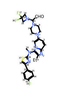 CCc1nc2ccc(N3CCN(C(C=O)N4CC(F)(F)C4)CC3)cn2c1N(C)c1nc(-c2ccc(F)cc2)cs1